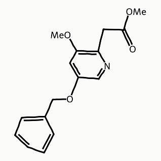 COC(=O)Cc1ncc(OCc2ccccc2)cc1OC